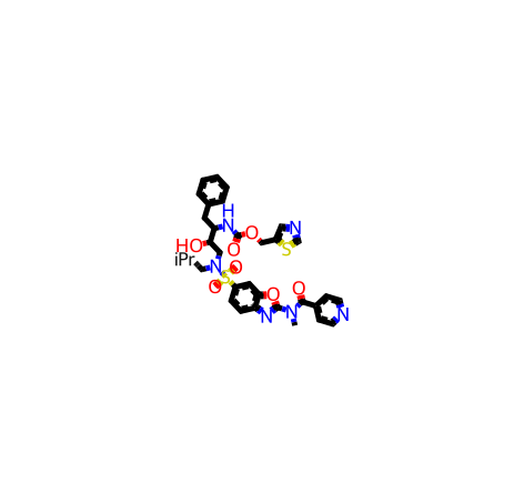 CC(C)CN(CC(O)C(Cc1ccccc1)NC(=O)OCc1cncs1)S(=O)(=O)c1ccc2nc(N(C)C(=O)c3ccncc3)oc2c1